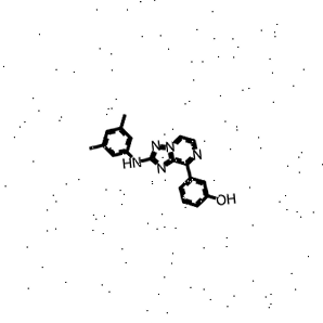 Cc1cc(C)cc(Nc2nc3c(-c4cccc(O)c4)nccn3n2)c1